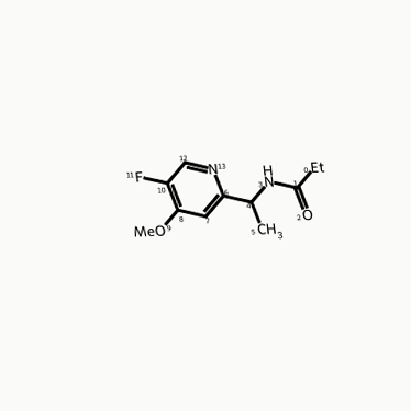 CCC(=O)NC(C)c1cc(OC)c(F)cn1